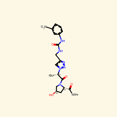 CNC(=O)[C@@H]1C[C@@H](O)CN1C(=O)[C@@H](n1cc(CNC(=O)Nc2cccc([N+](=O)[O-])c2)nn1)C(C)(C)C